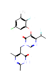 Cc1nc(C)c(Cn2cnc(C(C)F)c(Oc3cc(Cl)cc(C#N)c3F)c2=O)c(=O)[nH]1